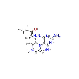 CCC(C)C(=O)c1ccc(N(C)Cc2cnc3nc(N)nc(N)c3n2)cc1